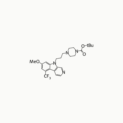 COc1cc(C(F)(F)F)c2c3ccncc3n(CCCN3CCN(C(=O)OC(C)(C)C)CC3)c2c1